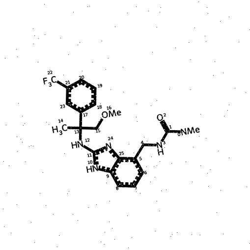 CNC(=O)NCc1cccc2[nH]c(NC(C)(COC)c3cccc(C(F)(F)F)c3)nc12